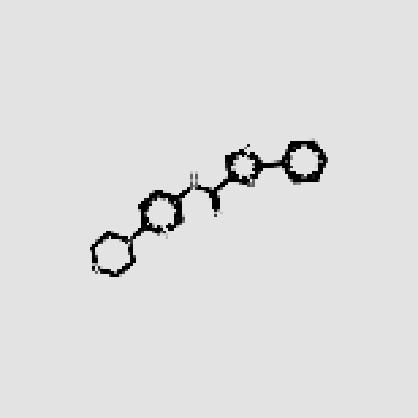 O=C(Nc1ccc(N2CCOCC2)nc1)c1csc(-c2ccccc2)n1